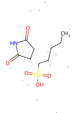 CCCCCS(=O)(=O)O.O=C1CCC(=O)N1